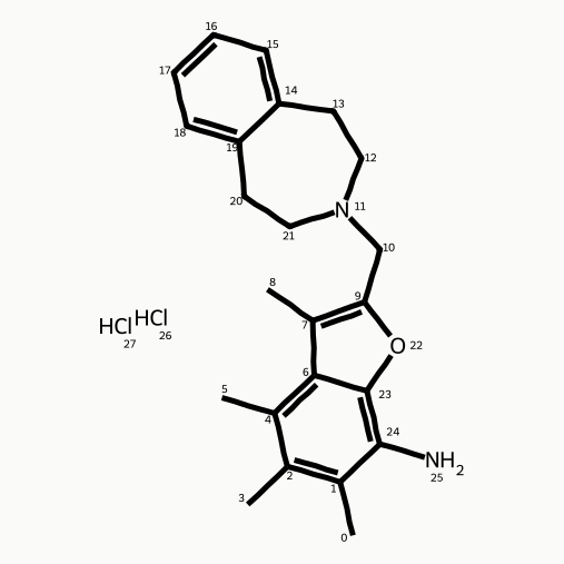 Cc1c(C)c(C)c2c(C)c(CN3CCc4ccccc4CC3)oc2c1N.Cl.Cl